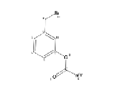 CCCC(=O)Oc1cccc(CBr)c1